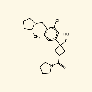 C[C@@H]1CCCN1Cc1ccc(C2(F)CC(C(=O)N3CCCC3)C2)cc1Cl.Cl